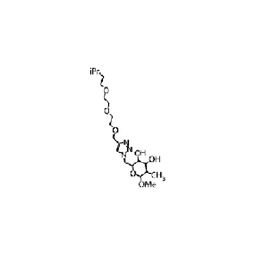 COC1OC(Cn2cc(COCCOCCOCCC(C)C)nn2)C(O)C(O)C1C